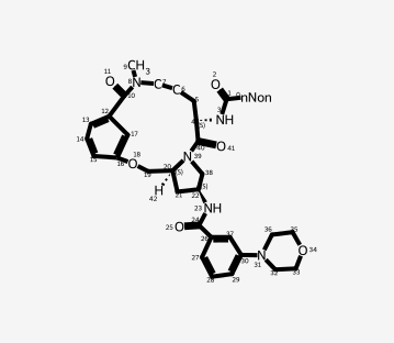 CCCCCCCCCC(=O)N[C@H]1CCCN(C)C(=O)c2cccc(c2)OC[C@@H]2C[C@H](NC(=O)c3cccc(N4CCOCC4)c3)CN2C1=O